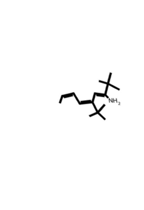 C\C=C/C=C(\C=C(/N)C(C)(C)C)C(C)(C)C